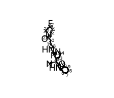 N#CC(=C1Nc2ccccc2O1)c1ccnc(NCCCC(=O)N2CCC(F)CC2)n1